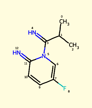 CC(C)C(=N)n1cc(F)ccc1=N